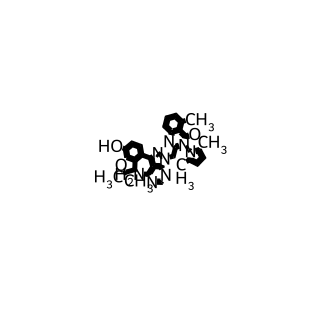 Cc1cccc2nc(Cn3nc(-c4ccc(O)c5c4CC(C)(C)O5)c4c(N)ncnc43)n(-n3c(C)ccc3C)c(=O)c12